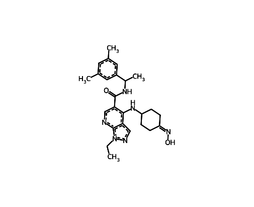 CCn1ncc2c(NC3CCC(=NO)CC3)c(C(=O)NC(C)c3cc(C)cc(C)c3)cnc21